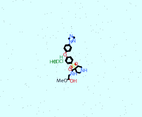 COC(O)CNC(=O)C1(S(=O)(=O)c2ccc(Oc3ccc(-n4cncn4)cc3)cc2)CCNCC1.Cl.Cl.Cl